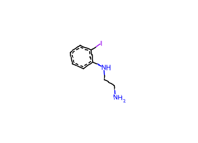 NCCNc1ccccc1I